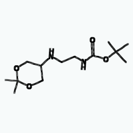 CC(C)(C)OC(=O)NCCNC1COC(C)(C)OC1